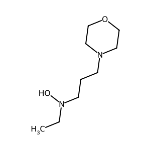 CCN(O)CCCN1CCOCC1